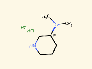 CN(C)[C@H]1CCCNC1.Cl.Cl